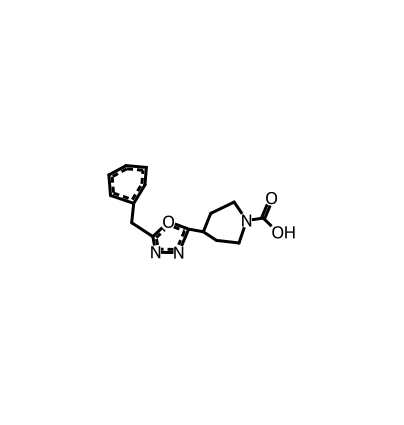 O=C(O)N1CCC(c2nnc(Cc3ccccc3)o2)CC1